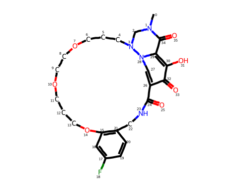 CN1CN2CCCOCCOCCCOc3cc(F)ccc3CNC(=O)c3cn2c(c(O)c3=O)C1=O